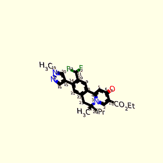 CCOC(=O)c1cn2c(cc1=O)-c1cc(C(F)F)c(-c3cnn(C)c3)cc1CC2(C)C(C)C